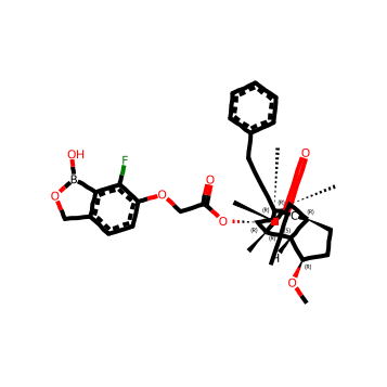 CO[C@@H]1CC[C@@]23CC[C@@H](C)[C@@](C)([C@H](OC(=O)COc4ccc5c(c4F)B(O)OC5)C[C@@](C)(Cc4ccccc4)C(=O)[C@@H]2C)[C@@H]13